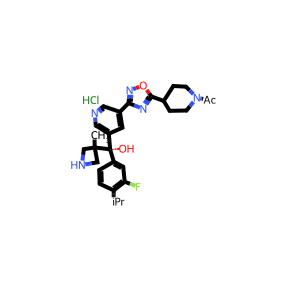 CC(=O)N1CCC(c2nc(-c3cncc([C@@](O)(c4ccc(C(C)C)c(F)c4)C4(C)CNC4)c3)no2)CC1.Cl